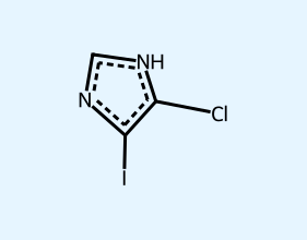 Clc1[nH]cnc1I